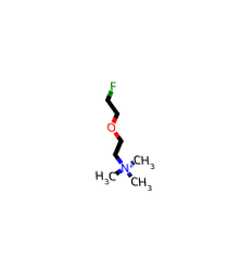 C[N+](C)(C)CCOCCF